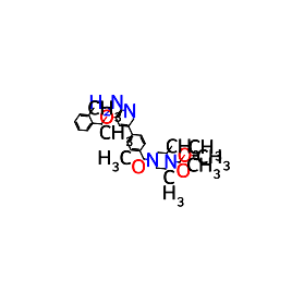 Cc1cc(-c2cnc(N)c(OC(C)c3ccccc3C)c2)ccc1C(=O)N1CC(C)N(C(=O)OC(C)(C)C)C(C)C1